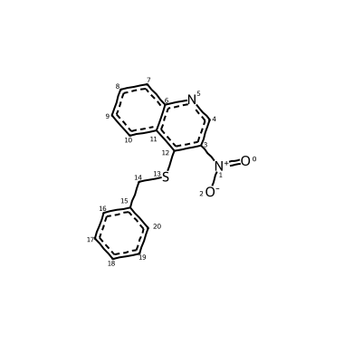 O=[N+]([O-])c1cnc2ccccc2c1SCc1ccccc1